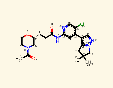 CC(=O)N1CCO[C@H](CCC(=O)Nc2cc(-c3cnn4c3CC(C)(C)C4)c(Cl)cn2)C1